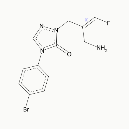 NC/C(=C\F)Cn1ncn(-c2ccc(Br)cc2)c1=O